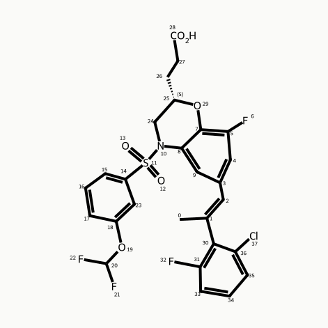 CC(=Cc1cc(F)c2c(c1)N(S(=O)(=O)c1cccc(OC(F)F)c1)C[C@H](CCC(=O)O)O2)c1c(F)cccc1Cl